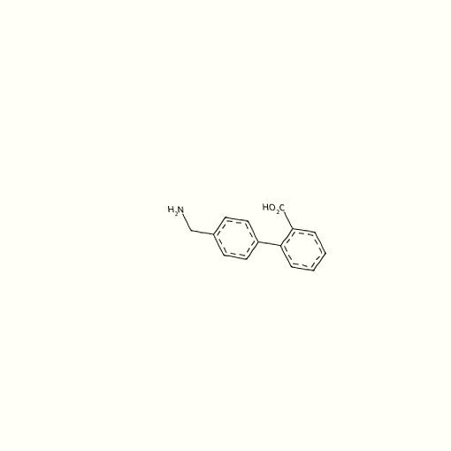 NCc1ccc(-c2ccccc2C(=O)O)cc1